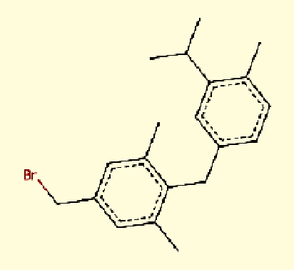 Cc1ccc(Cc2c(C)cc(CBr)cc2C)cc1C(C)C